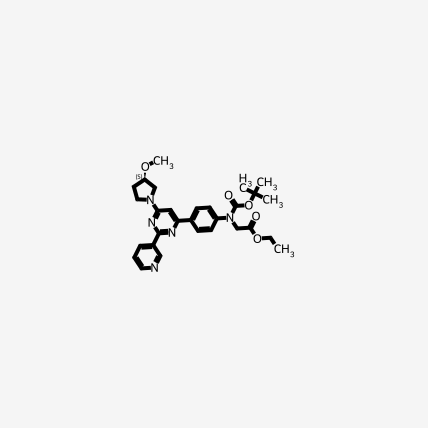 CCOC(=O)CN(C(=O)OC(C)(C)C)c1ccc(-c2cc(N3CC[C@H](OC)C3)nc(-c3cccnc3)n2)cc1